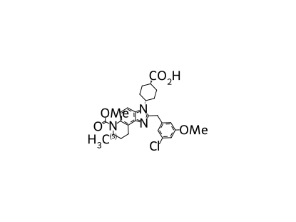 COC(=O)N1c2ccc3c(nc(Cc4cc(Cl)cc(OC)c4)n3[C@H]3CC[C@H](C(=O)O)CC3)c2CC[C@@H]1C